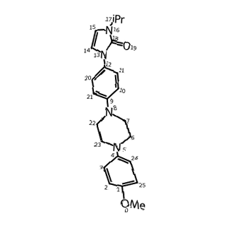 COc1ccc(N2CCN(c3ccc(-n4ccn(C(C)C)c4=O)cc3)CC2)cc1